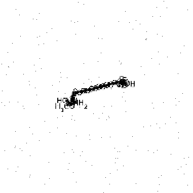 CCCN(OCCO)C(=O)C1=Cc2sc(CC3CN(C(=O)CCOCCOCCOCCOCCOCCOCCOCCOCCOCCOCCC(=O)Oc4c(F)c(F)c(S(=O)(=O)O)c(F)c4F)C3)cc2N=C(N)C1